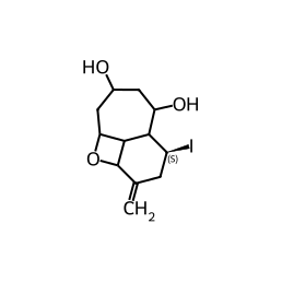 C=C1C[C@H](I)C2C(O)CC(O)CC3OC1C32